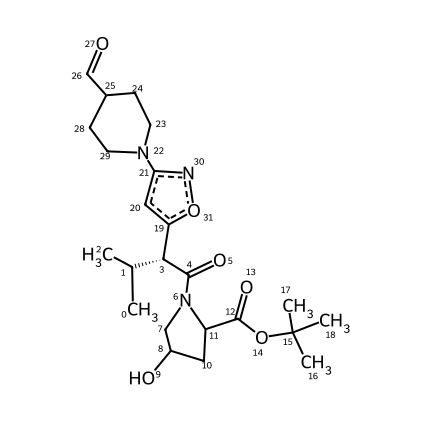 CC(C)[C@@H](C(=O)N1CC(O)CC1C(=O)OC(C)(C)C)c1cc(N2CCC(C=O)CC2)no1